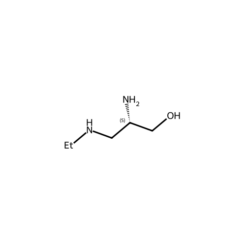 CCNC[C@H](N)CO